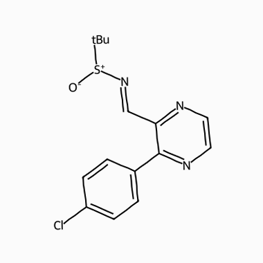 CC(C)(C)[S+]([O-])N=Cc1nccnc1-c1ccc(Cl)cc1